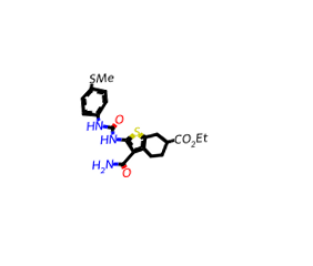 CCOC(=O)C1CCc2c(sc(NC(=O)Nc3ccc(SC)cc3)c2C(N)=O)C1